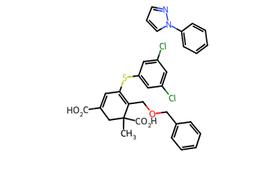 CC1(C(=O)O)CC(C(=O)O)=CC(Sc2cc(Cl)cc(Cl)c2)=C1COCc1ccccc1.c1ccc(-n2cccn2)cc1